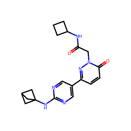 O=C(Cn1nc(-c2cnc(NC34CC(C3)C4)nc2)ccc1=O)NC1CCC1